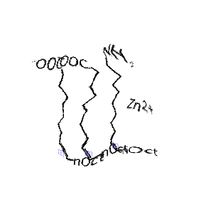 CCCCCCCC/C=C\CCCCCCCC(=O)[O-].CCCCCCCC/C=C\CCCCCCCC(=O)[O-].CCCCCCCC/C=C\CCCCCCCCN.[Zn+2]